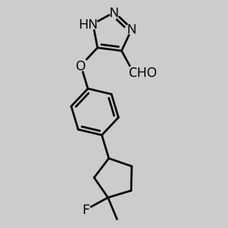 CC1(F)CCC(c2ccc(Oc3[nH]nnc3C=O)cc2)C1